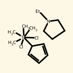 [CH2]CN1CCCC1.[CH3][Ti]([CH3])([CH3])([CH3])([Cl])([Cl])[CH]1C=CC=C1